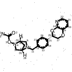 NC(=O)ON1C[C@@H]2C[C@H]1CN2Cc1ccc([C@H]2COc3cccnc3O2)cc1